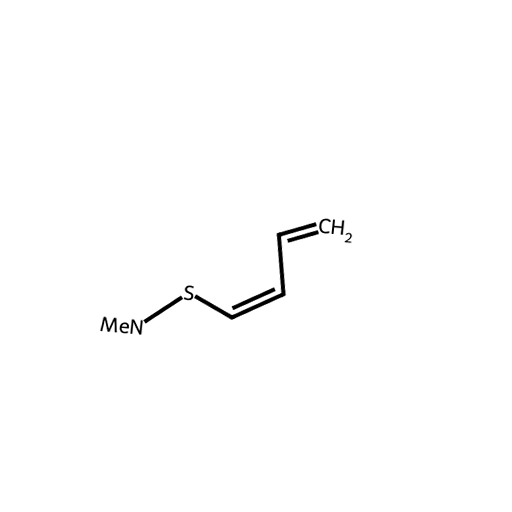 C=C/C=C\SNC